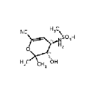 CC1(C)OC(C#N)=C[C@@H](N)[C@@H]1O.CS(=O)(=O)O